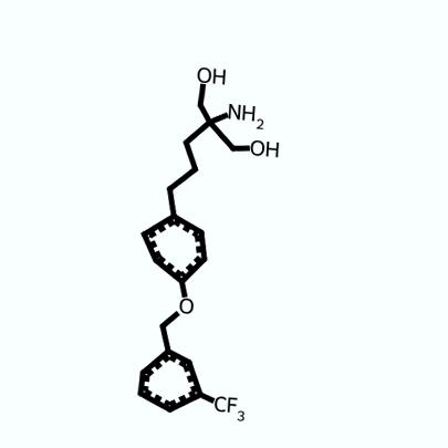 NC(CO)(CO)CCCc1ccc(OCc2cccc(C(F)(F)F)c2)cc1